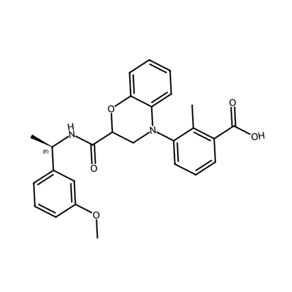 COc1cccc([C@@H](C)NC(=O)C2CN(c3cccc(C(=O)O)c3C)c3ccccc3O2)c1